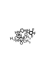 Cc1nc(N[C@H]2CC[C@@H](NC(=O)c3cc(F)c(F)c(F)c3)C2)nc2c1NC(=O)[C@H](C)N2C